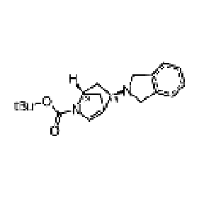 CC(C)(C)OC(=O)N1C=C2C[C@H]1C[C@H]2N1Cc2ccccc2C1